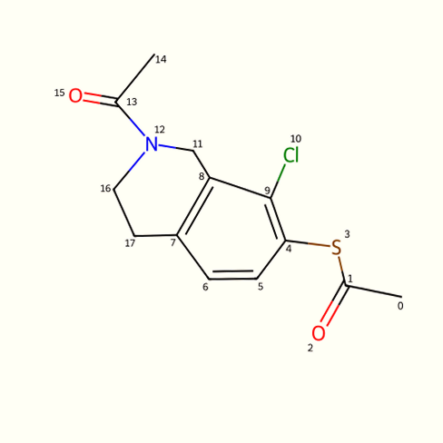 CC(=O)Sc1ccc2c(c1Cl)CN(C(C)=O)CC2